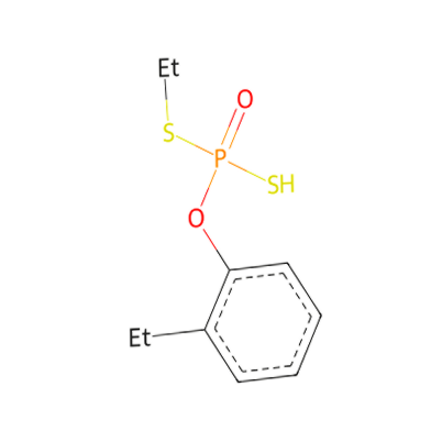 CCSP(=O)(S)Oc1ccccc1CC